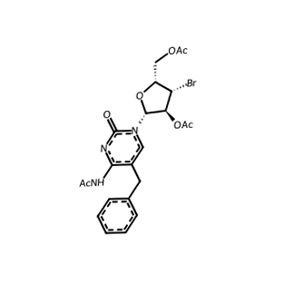 CC(=O)Nc1nc(=O)n([C@@H]2O[C@H](COC(C)=O)[C@H](Br)[C@H]2OC(C)=O)cc1Cc1ccccc1